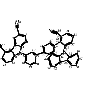 N#Cc1ccc2c(c1)c1c(C#N)cccc1n2-c1cccc(-c2ccc(-c3c(C#N)cccc3-n3c4ccccc4c4ccccc43)cc2)c1